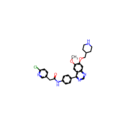 COc1cc2c(-c3ccc(NC(=O)Cc4ccc(Cl)nc4)cc3)ncnc2cc1OCC1CCNCC1